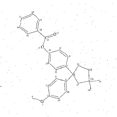 COc1ccc(C2(c3ccc(OC(=O)c4ccccc4)cc3)CCC(C)(C)C2)cc1